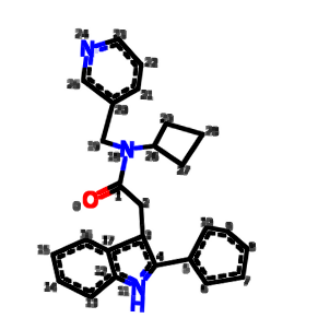 O=C(Cc1c(-c2ccccc2)[nH]c2ccccc12)N(Cc1cccnc1)C1CCC1